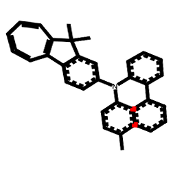 Cc1ccc(N(c2ccc3c(c2)C(C)(C)C2=C3C=C=CC=C2)c2ccccc2-c2ccccc2)cc1